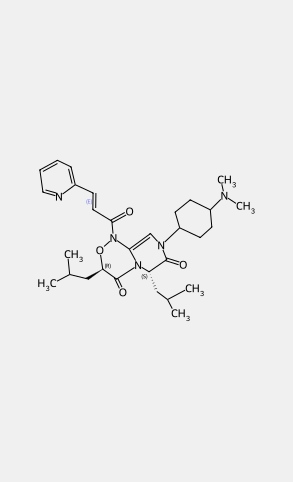 CC(C)C[C@H]1ON(C(=O)/C=C/c2ccccn2)C2=CN(C3CCC(N(C)C)CC3)C(=O)[C@H](CC(C)C)N2C1=O